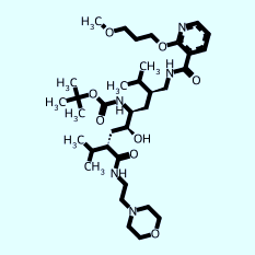 COCCCOc1ncccc1C(=O)NC[C@@H](C[C@H](NC(=O)OC(C)(C)C)[C@@H](O)C[C@H](C(=O)NCCN1CCOCC1)C(C)C)C(C)C